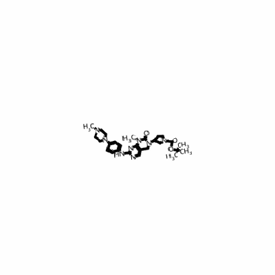 CN1CCN(c2ccc(Nc3ncc4c(n3)N(C)C(=O)N(C3CCN(C(=O)OC(C)(C)C)C3)C4)cc2)CC1